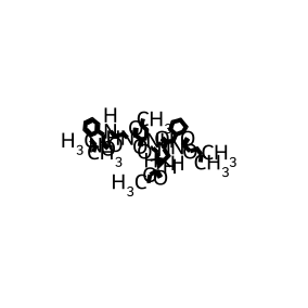 CCCC(NC(=O)C1[C@@H]2[C@H](CN1C(=O)[C@@H](NC(=O)OCC(C)C)C1CCCCC1)[C@@H]2C(=O)OCC)C(=O)C(=O)NCC(=O)NC(C(=O)N(C)C)c1ccccc1